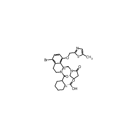 Cc1cnc(COc2ccc(Br)c3c2[C@@H](CN2CCCC2=O)N(C(=O)C2CCCC[C@H]2C(=O)O)CC3)s1